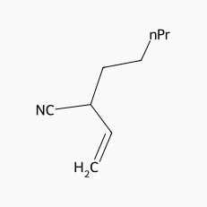 [CH2]CCCCC(C#N)C=C